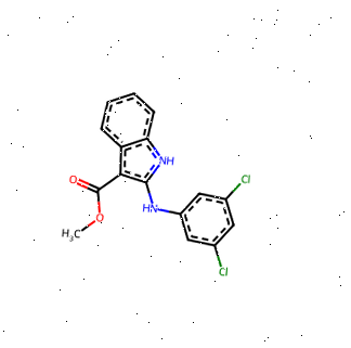 COC(=O)c1c(Nc2cc(Cl)cc(Cl)c2)[nH]c2ccccc12